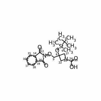 CC(C)(C)[Si](C)(C)OC1(CON2C(=O)c3ccccc3C2=O)CN(C(=O)O)C1